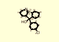 OC(c1ccc(Cl)cc1)(c1cccnc1)c1ccccc1Br